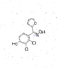 O/N=C(\c1ccco1)c1ccc(O)c(Cl)c1Cl